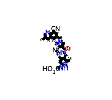 Cc1cnc2c(C#N)cc(Cn3cc(C(=O)NCc4c(C)cc(NC(=O)O)nc4C)c(C#N)n3)cc2c1